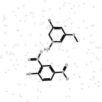 COC1=CN(N)CC(Br)=C1.O=[N+]([O-])c1ccc(O)c([N+](=O)[O-])c1